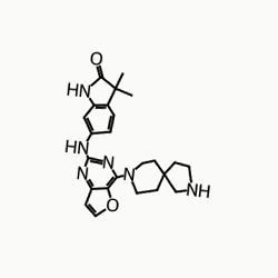 CC1(C)C(=O)Nc2cc(Nc3nc(N4CCC5(CCNC5)CC4)c4occc4n3)ccc21